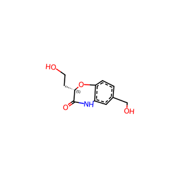 O=C1Nc2cc(CO)ccc2O[C@H]1CCO